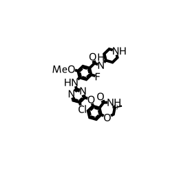 COc1cc(C(=O)NC2CCNCC2)c(F)cc1Nc1ncc(Cl)c(Oc2cccc3c2C(=O)N[C@@H](C)CO3)n1